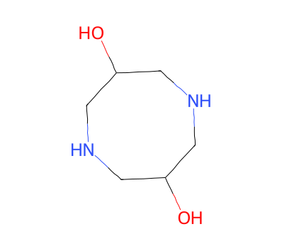 OC1CNCC(O)CNC1